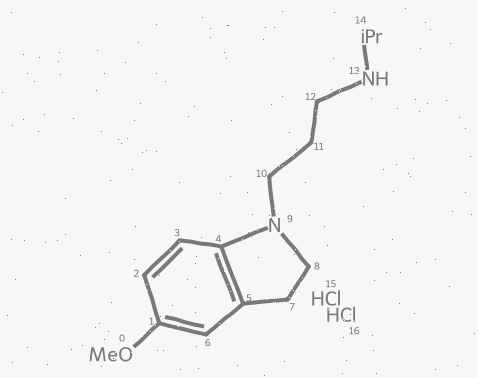 COc1ccc2c(c1)CCN2CCCNC(C)C.Cl.Cl